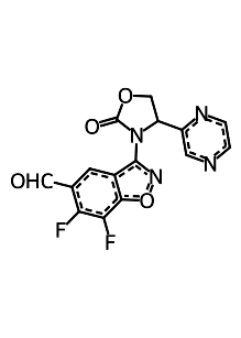 O=Cc1cc2c(N3C(=O)OCC3c3cnccn3)noc2c(F)c1F